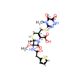 CO[C@@]1(NC(=O)Cc2cccs2)C(=O)N2C(C(=O)O)=C(CSc3n[nH]c(=O)c(=O)n3C)CS[C@H]21